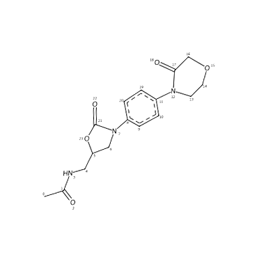 CC(=O)NCC1CN(c2ccc(N3CCOCC3=O)cc2)C(=O)O1